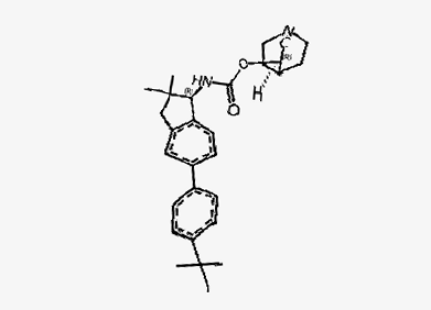 CC(C)(C)c1ccc(-c2ccc3c(c2)CC(C)(C)[C@H]3NC(=O)O[C@H]2CN3CCC2CC3)cc1